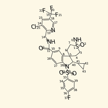 N=S1(=O)CCC2(CC1)c1cc(C(=O)NCc3ncc(C(F)(F)F)cc3Cl)ccc1N(S(=O)(=O)c1ccc(F)cc1)C2C1CC1